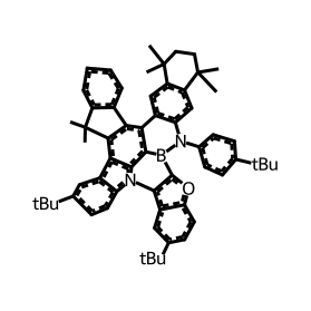 CC(C)(C)c1ccc(N2B3c4oc5ccc(C(C)(C)C)cc5c4-n4c5ccc(C(C)(C)C)cc5c5c6c(c(c3c54)-c3cc4c(cc32)C(C)(C)CCC4(C)C)-c2ccccc2C6(C)C)cc1